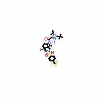 CCC[C@H](NCC(C)(C)C)C(=O)N[C@@H]1CC[C@H]2CN(S(=O)(=O)c3ccc(C(F)(F)F)cc3)C[C@H]21